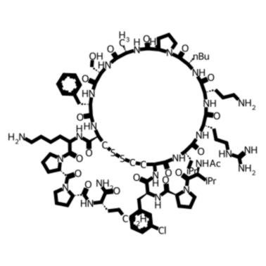 CCCC[C@@H]1NC(=O)[C@H](CCCN)NC(=O)[C@H](CCCNC(=N)N)NC(=O)[C@H](CC(C)C)NC(=O)C(NC(=O)[C@H](Cc2cccc(Cl)c2)NC(=O)[C@@H]2CCCN2C(=O)[C@@H](NC(C)=O)C(C)C)CCSSC[C@@H](C(=O)NC(CCCCN)C(=O)N2CCC[C@H]2C(=O)N2CCC[C@H]2C(=O)N[C@@H](CCC(=O)O)C(N)=O)NC(=O)[C@H](Cc2ccccc2)NC(=O)[C@H](CO)NC(=O)[C@H](C)NC(=O)[C@@H]2CCCN2C1=O